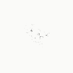 CC(O)(c1ccc(N2CCN(S(=O)(=O)C3=CC=CCC3=S)C[C@@H]2CN2CCS(=O)(=O)CC2C2CC2)cc1)C(F)(F)F